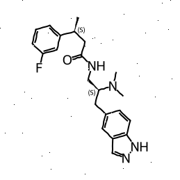 C[C@@H](CC(=O)NC[C@H](Cc1ccc2[nH]ncc2c1)N(C)C)c1cccc(F)c1